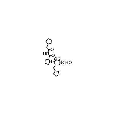 O=CN(O)C[C@@H](CC1CCCC1)C(=O)N1CCC[C@H]1C(=O)NC(=O)CC1CCCC1